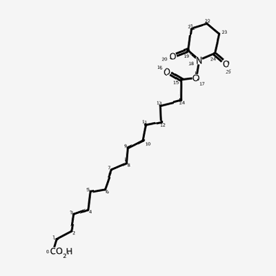 O=C(O)CCCCCCCCCCCCCCC(=O)ON1C(=O)CCCC1=O